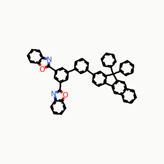 c1ccc(C2(c3ccccc3)c3cc(-c4cccc(-c5cc(-c6nc7ccccc7o6)cc(-c6nc7ccccc7o6)c5)c4)ccc3-c3cc4ccccc4cc32)cc1